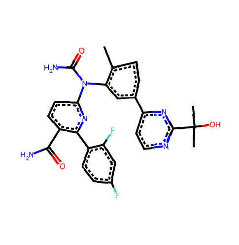 Cc1ccc(-c2ccnc(C(C)(C)O)n2)cc1N(C(N)=O)c1ccc(C(N)=O)c(-c2ccc(F)cc2F)n1